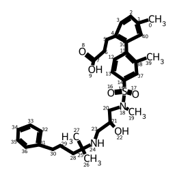 Cc1ccc(CCC(=O)O)c(-c2ccc(S(=O)(=O)N(C)CC(O)CNC(C)(C)CCCc3ccccc3)cc2C)c1